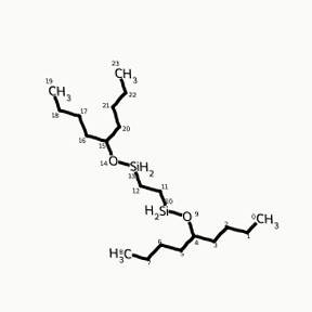 CCCCC(CCCC)O[SiH2]CC[SiH2]OC(CCCC)CCCC